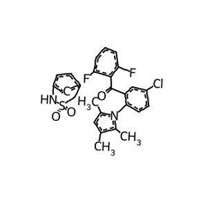 Cc1cc(C)n(-c2ccc(Cl)cc2C(=O)c2c(F)cccc2F)c1C.O=S1(=O)Cc2ccc(cc2)N1